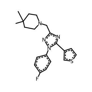 CC1(C)CCN(Cc2nc(-c3ccsc3)n(-c3ccc(F)cc3)n2)CC1